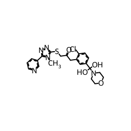 Cn1c(SCC(=O)Cc2cc(C(O)(O)N3CCOCC3)ccc2Cl)nnc1-c1cccnc1